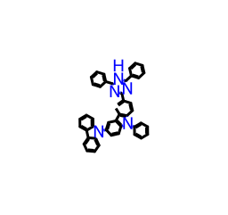 C=C(/C=C\c1c(C)c2cc(-n3c4ccccc4c4ccccc43)ccc2n1-c1ccccc1)C1=NC(c2ccccc2)NC(c2ccccc2)=N1